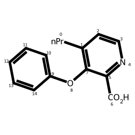 CCCc1ccnc(C(=O)O)c1Oc1ccccc1